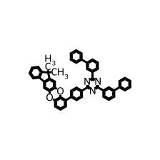 CC1(C)c2ccccc2-c2cc3c(cc21)Oc1c(cccc1-c1ccc(-c2nc(-c4cccc(-c5ccccc5)c4)nc(-c4cccc(-c5ccccc5)c4)n2)cc1)O3